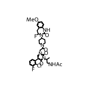 COc1ccc2c(c1)CC(F)N(C1CCN(C(=O)Cn3cc(-c4cccc(F)c4Cl)c(=O)n(C(C)CNC(C)=O)c3=O)CC1)C(=O)N2